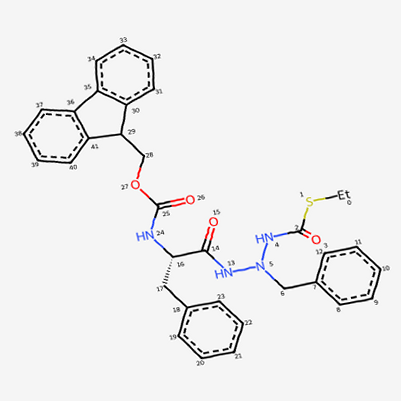 CCSC(=O)NN(Cc1ccccc1)NC(=O)[C@H](Cc1ccccc1)NC(=O)OCC1c2ccccc2-c2ccccc21